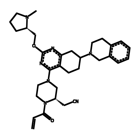 C=CC(=O)N1CCN(c2nc(OC[C@@H]3CCCN3C)nc3c2CCC(N2CCc4ccccc4C2)C3)C[C@@H]1CC#N